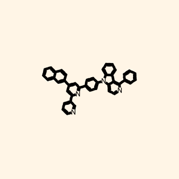 c1ccc(-c2nccc3c2c2ccccc2n3-c2ccc(-c3cc(-c4ccc5ccccc5c4)cc(-c4cccnc4)n3)cc2)cc1